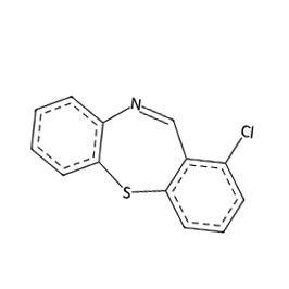 Clc1cccc2c1C=Nc1ccccc1S2